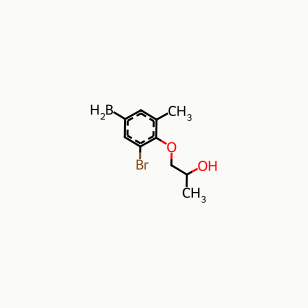 Bc1cc(C)c(OCC(C)O)c(Br)c1